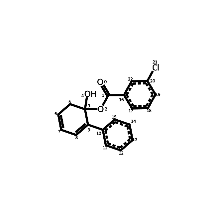 O=C(OC1(O)CC=CC=C1c1ccccc1)c1cccc(Cl)c1